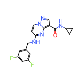 O=C(NC1CC1)c1cnn2ccc(NCc3cc(F)cc(F)c3)nc12